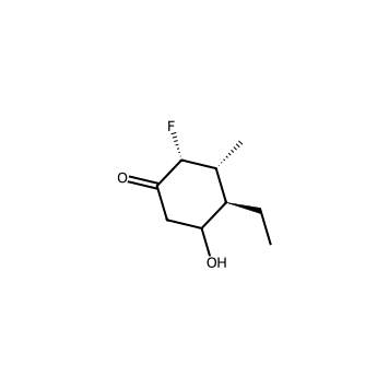 CC[C@H]1C(O)CC(=O)[C@H](F)[C@@H]1C